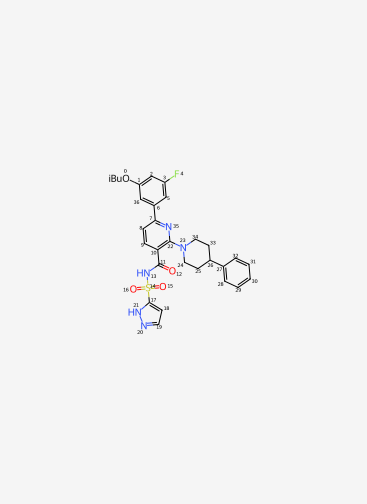 CC(C)COc1cc(F)cc(-c2ccc(C(=O)NS(=O)(=O)c3ccn[nH]3)c(N3CCC(c4ccccc4)CC3)n2)c1